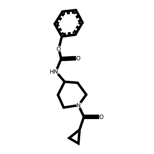 O=C(NC1CCN(C(=O)C2CC2)CC1)Oc1ccccc1